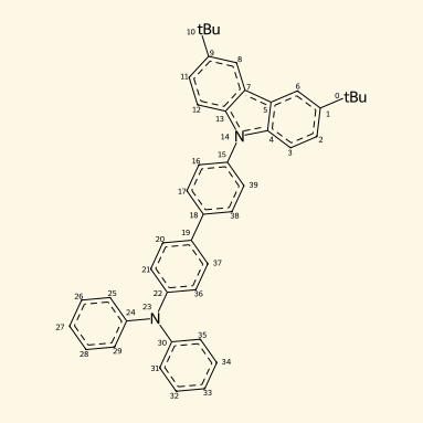 CC(C)(C)c1ccc2c(c1)c1cc(C(C)(C)C)ccc1n2-c1ccc(-c2ccc(N(c3ccccc3)c3ccccc3)cc2)cc1